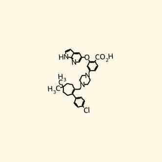 CC1(C)CCC(CN2CCN(c3ccc(C(=O)O)c(Oc4cnc5[nH]ccc5c4)c3)CC2)=C(c2ccc(Cl)cc2)CC1